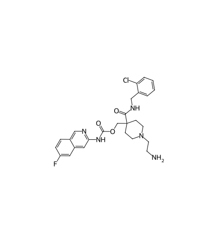 NCCN1CCC(COC(=O)Nc2cc3cc(F)ccc3cn2)(C(=O)NCc2ccccc2Cl)CC1